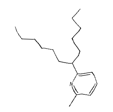 CCCCCCC(CCCCC)c1cccc(C)n1